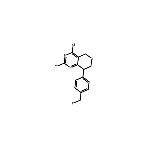 FCc1ccc(C2COCc3c(Cl)nc(Cl)nc32)cc1